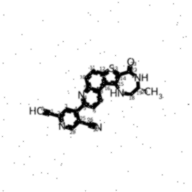 C#Cc1cc(-c2ccc3c(ccc4sc5c(c43)NC[C@@H](C)NC5=O)n2)c(C#N)cn1